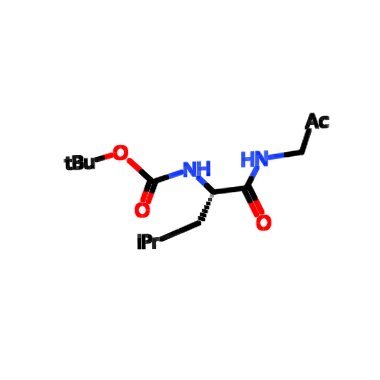 CC(=O)CNC(=O)[C@H](CC(C)C)NC(=O)OC(C)(C)C